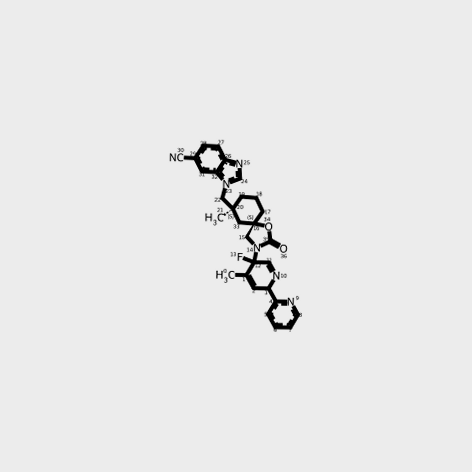 CC1=CC(c2ccccn2)N=CC1(F)N1C[C@@]2(CCC[C@](C)(Cn3cnc4ccc(C#N)cc43)C2)OC1=O